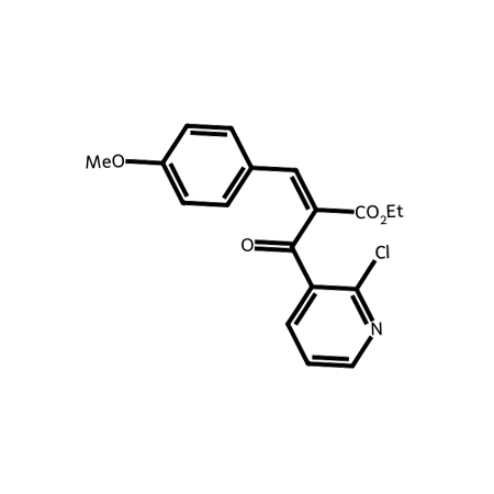 CCOC(=O)C(=Cc1ccc(OC)cc1)C(=O)c1cccnc1Cl